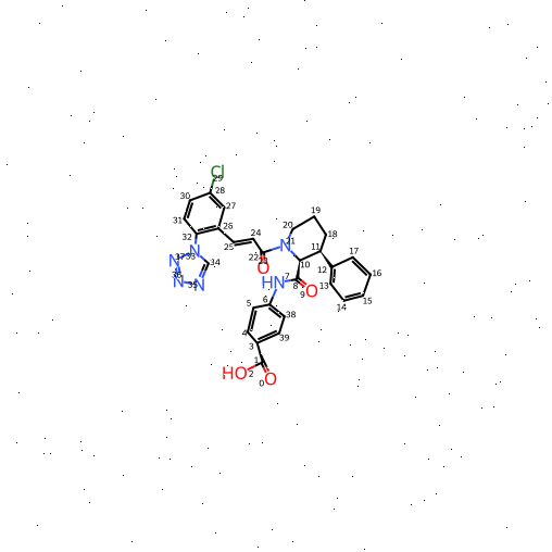 O=C(O)c1ccc(NC(=O)[C@@H]2[C@H](c3ccccc3)CCCN2C(=O)C=Cc2cc(Cl)ccc2-n2cnnn2)cc1